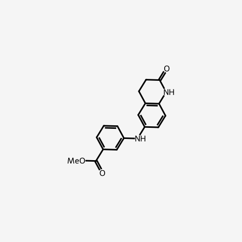 COC(=O)c1cccc(Nc2ccc3c(c2)CCC(=O)N3)c1